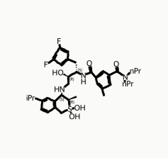 CCCN(CCC)C(=O)c1cc(C)cc(C(=O)N[C@@H](Cc2cc(F)cc(F)c2)[C@H](O)CN[C@H]2c3cc(C(C)C)ccc3CS(O)(O)[C@@H]2C)c1